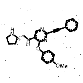 COc1ccc(Oc2nc(C#Cc3ccccc3)ncc2NC[C@@H]2CCCN2)cc1